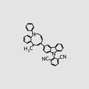 C=C1/C=C(c2ccc3c(c2)c2ccccc2n3-c2c(C#N)cccc2C#N)\C=C/CN(c2ccccc2)c2ccccc21